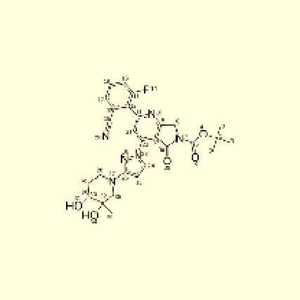 CC(C)(C)OC(=O)N1Cc2nc(-c3c(F)cccc3C#N)cc(-n3ccc(N4CC[C@@H](O)C(C)(O)C4)n3)c2C1=O